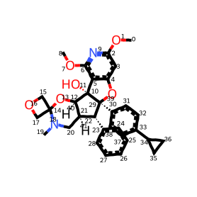 COc1cc2c(c(OC)n1)[C@]1(O)[C@@H]3OC4(COC4)N(C)C[C@@H]3[C@@H](c3ccccc3)[C@]1(c1ccc(C3CC3)cc1)O2